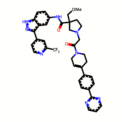 COCC1(C(=O)Nc2ccc3[nH]nc(-c4ccnc(C(F)(F)F)c4)c3c2)CCN(CC(=O)N2CC=C(c3ccc(-c4ncccn4)cc3)CC2)C1